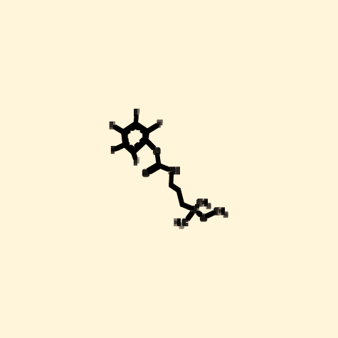 CO[Si](C)(C)CCCNC(=O)Oc1c(F)c(F)c(F)c(F)c1F